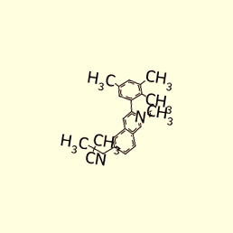 Cc1cc(C)c(C)c(-c2cc3cc(CC(C)(C)C#N)ccc3c[n+]2C)c1